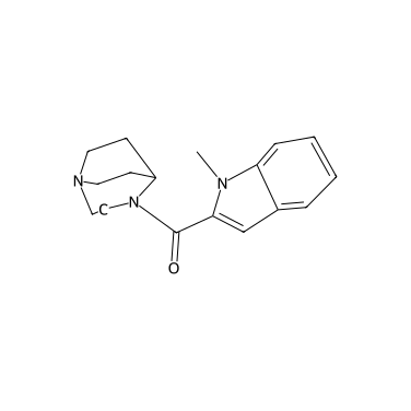 Cn1c(C(=O)N2CCN3CCC2CC3)cc2ccccc21